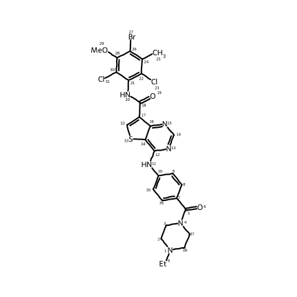 CCN1CCN(C(=O)c2ccc(Nc3ncnc4c(C(=O)Nc5c(Cl)c(C)c(Br)c(OC)c5Cl)csc34)cc2)CC1